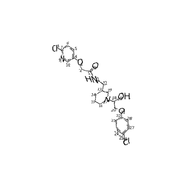 O=C(COc1ccc(Cl)nc1)NCC1CCCN(C(O)COc2ccc(Cl)cc2)C1